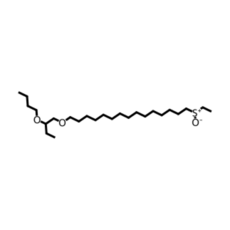 CCCCOC(CC)COCCCCCCCCCCCCCCC[S+]([O-])CC